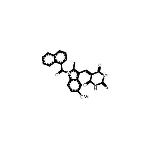 COc1ccc2c(c1)c(C=C1C(=O)NC(=S)NC1=O)c(C)n2C(=O)c1cccc2ccccc12